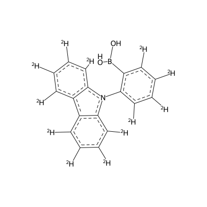 [2H]c1c([2H])c([2H])c(-n2c3c([2H])c([2H])c([2H])c([2H])c3c3c([2H])c([2H])c([2H])c([2H])c32)c(B(O)O)c1[2H]